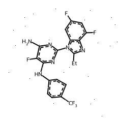 CCc1nc2c(F)cc(F)cc2n1-c1nc(N)c(F)c(Nc2ccc(C(F)(F)F)cc2)n1